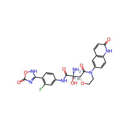 N[C@@](O)(C(=O)Nc1ccc(-c2nc(=O)o[nH]2)c(F)c1)[C@H]1OCCN(c2ccc3[nH]c(=O)ccc3c2)C1=O